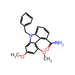 COc1cc(OC)c2c3c(C(N)=O)cccc3n(Cc3ccccc3)c2c1